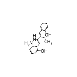 CCC(=Cc1ccccc1O)C(=Cc1ccccc1O)NN